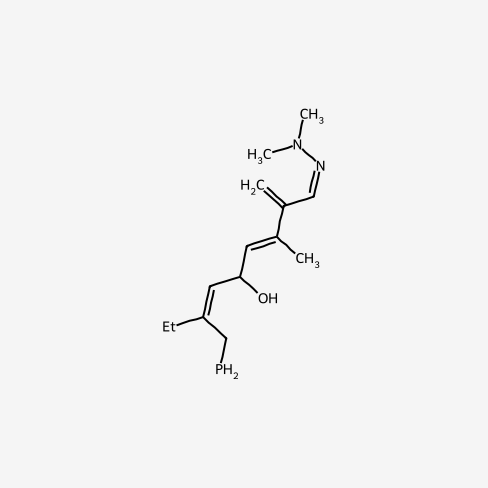 C=C(/C=N\N(C)C)/C(C)=C/C(O)C=C(CC)CP